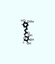 COc1cc(/C=C/C(=O)C[C@@H]2O[C@@H](C)[C@H](O)[C@@H](O)[C@H]2O)ccc1O